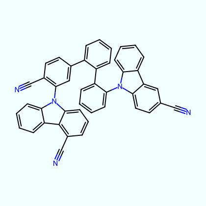 N#Cc1ccc2c(c1)c1ccccc1n2-c1ccccc1-c1ccccc1-c1ccc(C#N)c(-n2c3ccccc3c3c(C#N)cccc32)c1